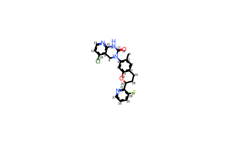 Cc1cc2c(cc1N1Cc3c(Cl)ccnc3NC1=O)OC(c1ncccc1F)CC2